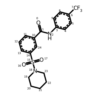 O=C(Nc1ccc(C(F)(F)F)cc1)c1cccc(S(=O)(=O)N2CCCCC2)c1